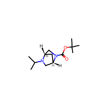 CC(C)N1C[C@@H]2C[C@H]1CN2C(=O)OC(C)(C)C